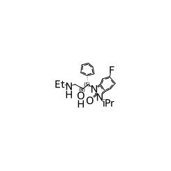 CCNC[C@@H](O)[C@H](c1ccccc1)n1c(=O)n(C(C)C)c2ccc(F)cc21